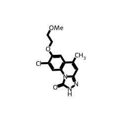 COCCOc1cc2c(C)cc3n[nH]c(=O)n3c2cc1Cl